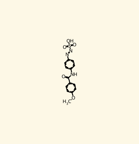 COc1ccc(C(=O)Nc2ccc(N=NS(=O)(=O)O)cc2)cc1